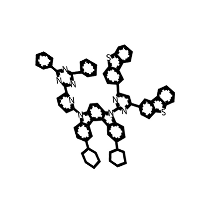 c1ccc(-c2nc(-c3ccccc3)nc(-c3cccc(-n4c5ccc(C6CCCCC6)cc5c5c6c7cc(C8CCCCC8)ccc7n(-c7nc(-c8ccc9sc%10ccccc%10c9c8)cc(-c8ccc9sc%10ccccc%10c9c8)n7)c6ccc54)n3)n2)cc1